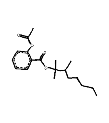 CCCCCC(C)C(C)(C)OC(=O)c1ccccc1OC(C)=O